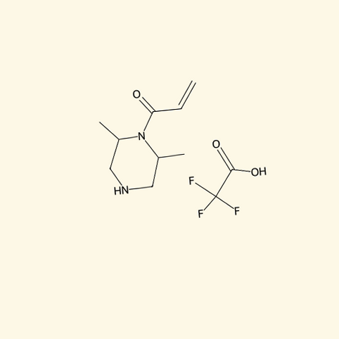 C=CC(=O)N1C(C)CNCC1C.O=C(O)C(F)(F)F